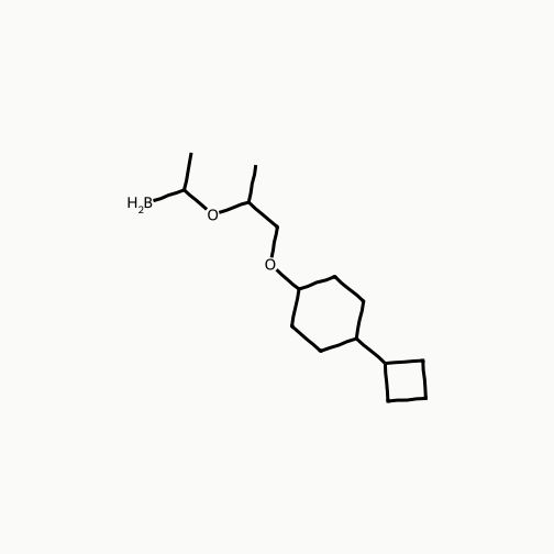 BC(C)OC(C)COC1CCC(C2CCC2)CC1